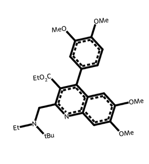 CCOC(=O)c1c(CN(CC)C(C)(C)C)nc2cc(OC)c(OC)cc2c1-c1ccc(OC)c(OC)c1